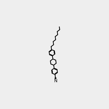 CCCCCCCCCc1ccc(C2CCC(c3ccc(C#N)cc3)CC2)cc1